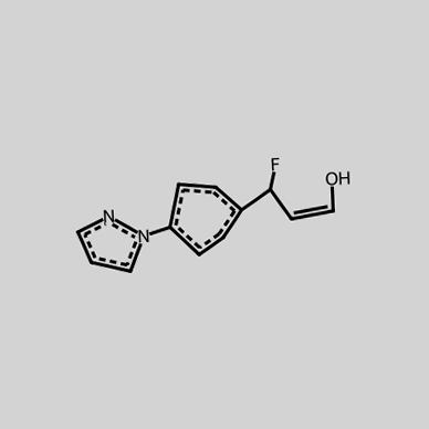 O/C=C\C(F)c1ccc(-n2cccn2)cc1